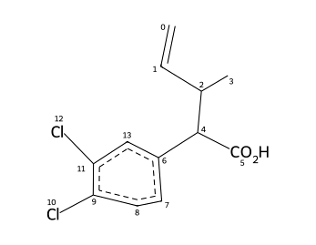 C=CC(C)C(C(=O)O)c1ccc(Cl)c(Cl)c1